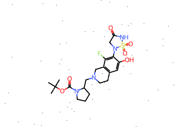 CC(C)(C)OC(=O)N1CCCC1CN1CCc2cc(O)c(N3CC(=O)NS3(=O)=O)c(F)c2C1